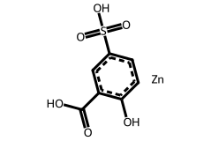 O=C(O)c1cc(S(=O)(=O)O)ccc1O.[Zn]